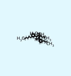 CCCCCCc1cccc(C2=CC(CCCC)=C(c3cccc(CCCC)c3)[N+]2=[N-])c1.[CH3][Ni][CH3]